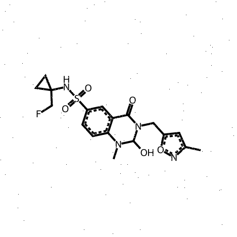 Cc1cc(CN2C(=O)c3cc(S(=O)(=O)NC4(CF)CC4)ccc3N(C)C2O)on1